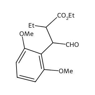 CCOC(=O)C(CC)C(C=O)c1c(OC)cccc1OC